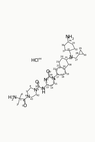 CC(C)(N)C(=O)N1CCN(C(=O)Nc2ccn(-c3ccc4c(c3)CCC(N(CC3CC3)C3CCC(N)CC3)C4)c(=O)n2)CC1.Cl